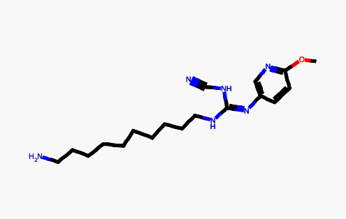 COc1ccc(N=C(NC#N)NCCCCCCCCCCN)cn1